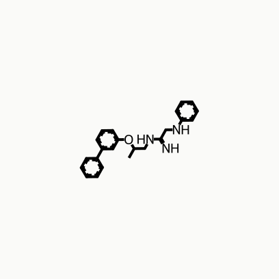 CC(CNC(=N)CNc1ccccc1)Oc1cccc(-c2ccccc2)c1